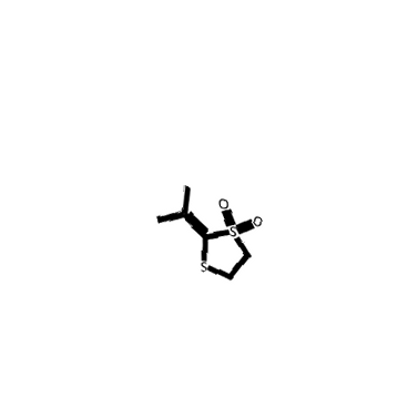 CC(C)=C1SCCS1(=O)=O